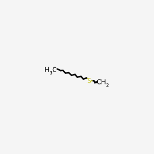 C=CCSCCCCCCCCCCCC